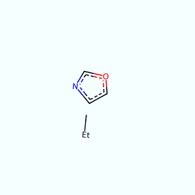 CCC.c1cocn1